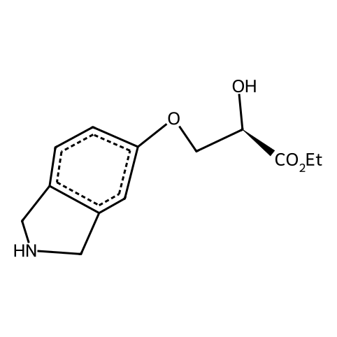 CCOC(=O)[C@H](O)COc1ccc2c(c1)CNC2